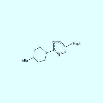 CCCCCCCc1cnc(C2CCC(CCCC)CC2)nc1